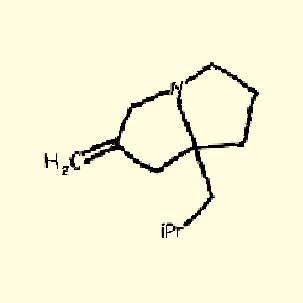 C=C1CN2CCCC2(CC(C)C)C1